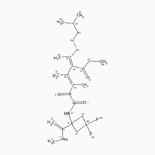 C=C(NC)C1(NC(=O)C(=O)/C(C)=C(C)/C(C(=O)CC)=C(\C)CCCC(C)C)CC(F)(F)C1